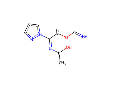 CB(O)/N=C(\BOC=N)n1cccn1